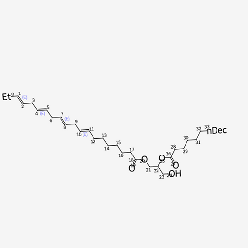 CC/C=C/C/C=C/C/C=C/C/C=C/CCCCCCC(=O)OCC(CO)OC(=O)CCCCCCCCCCCCCCC